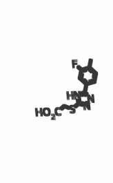 Cc1ccc(-c2nnc(SCC(=O)O)[nH]2)cc1F